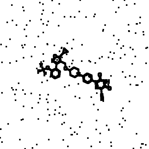 N#Cc1nn(-c2ccc(N3CCC(OCc4c(-c5ccccc5OC(F)(F)F)noc4C4CC4)CC3)cc2)c(=O)[nH]c1=O